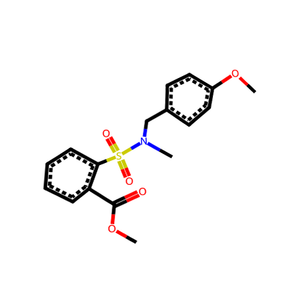 COC(=O)c1ccccc1S(=O)(=O)N(C)Cc1ccc(OC)cc1